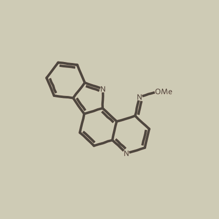 CON=C1C=CN=c2ccc3c(c21)N=c1ccccc1=3